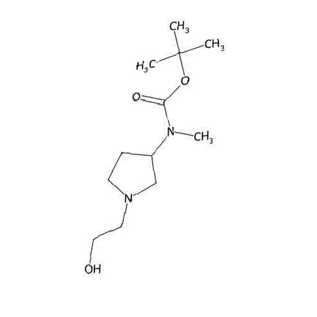 CN(C(=O)OC(C)(C)C)C1CCN(CCO)C1